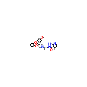 COc1ccc(C2(C3CCN(C(C)CCNC(=O)c4c(C)ccnc4C)CC3)Oc3ccccc3O2)cc1